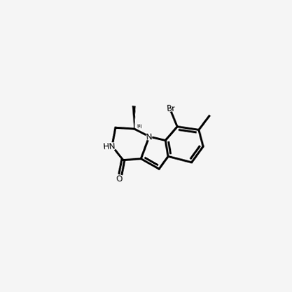 Cc1ccc2cc3n(c2c1Br)[C@H](C)CNC3=O